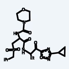 CCC(NC(=O)C(CS(=O)(=O)CC(C)C)NC(=O)N1CCOCC1)C(=O)c1nc(C2CC2)no1